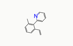 C=Cc1cccc(C)c1-c1ccccn1